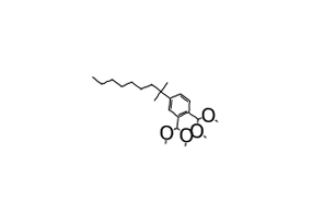 CCCCCCCC(C)(C)c1ccc(C(OC)OC)c(C(OC)OC)c1